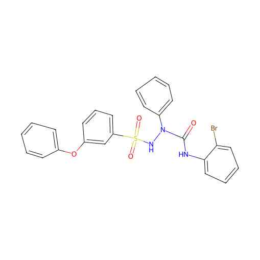 O=C(Nc1ccccc1Br)N(NS(=O)(=O)c1cccc(Oc2ccccc2)c1)c1ccccc1